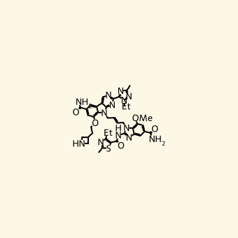 CCc1nc(C)sc1C(=O)Nc1nc2cc(C(N)=O)cc(OC)c2n1C/C=C/Cn1c2nc(-c3nc(C)nn3CC)ncc2c2cc(C(N)=O)cc(OCCC3CNC3)c21